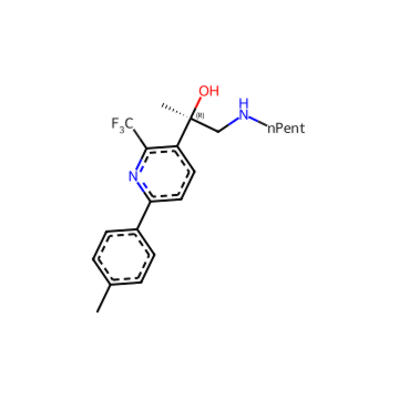 CCCCCNC[C@](C)(O)c1ccc(-c2ccc(C)cc2)nc1C(F)(F)F